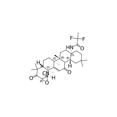 CC1(C)CC[C@]2(NC(=O)C(C)(F)F)CC[C@]3(C)C(C(=O)C=C4[C@@]5(C)[C@H]6O[C@@]6(C#N)C(=O)C(C)(C)[C@@H]5CC[C@]43C)[C@H]2C1